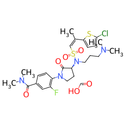 CC(=CS(=O)(=O)N(CCCN(C)C)[C@H]1CCN(c2ccc(C(=O)N(C)C)cc2F)C1=O)c1ccc(Cl)s1.O=CO